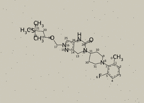 Cc1cccc(F)c1N1CCC(N2Cc3nn(COCC[Si](C)(C)C)cc3NC2=O)CC1